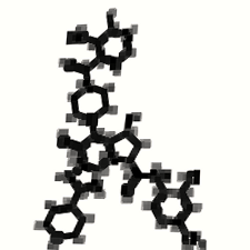 Cc1ncnc(C(=O)N2CCN(c3c4n(c5nc(C6=CCOCC6)nn5c3=O)[C@H](C(=O)Nc3ccc(C(F)(F)F)cc3Cl)C[C@@H]4C)CC2)c1O